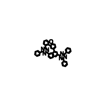 c1ccc(-c2nc(-c3ccccc3)nc(-c3cccc(-c4ccc5oc6cccc(-c7nc(-c8ccccc8)nc(-c8ccccc8)n7)c6c5c4)c3)n2)cc1